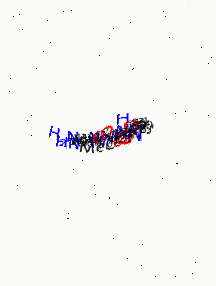 COC(=O)[C@H](CNC(=O)CC1CC(c2ccc(C(=N)N)cc2)=NO1)NC(=O)c1nc2ccccc2o1